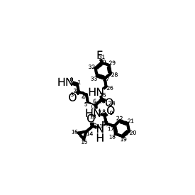 N=CC(=O)CC[C@H](NC(=O)[C@@H](NC(=O)C1CC1)c1ccccc1)C(=O)NCc1ccc(F)cc1